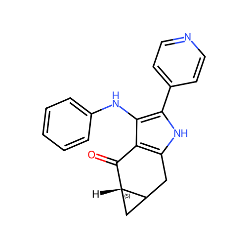 O=C1c2c([nH]c(-c3ccncc3)c2Nc2ccccc2)CC2C[C@H]12